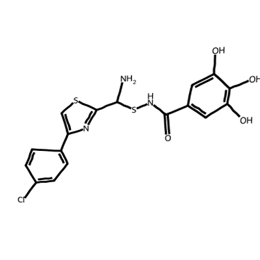 NC(SNC(=O)c1cc(O)c(O)c(O)c1)c1nc(-c2ccc(Cl)cc2)cs1